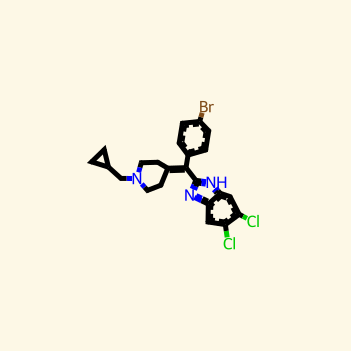 Clc1cc2nc(C(=C3CCN(CC4CC4)CC3)c3ccc(Br)cc3)[nH]c2cc1Cl